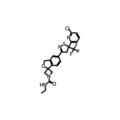 CCNC(=O)N1CC2(C1)OCc1cc(C3=NSC(c4cccc(Cl)n4)(C(F)(F)F)C3)ccc12